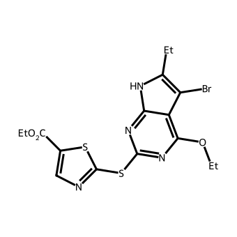 CCOC(=O)c1cnc(Sc2nc(OCC)c3c(Br)c(CC)[nH]c3n2)s1